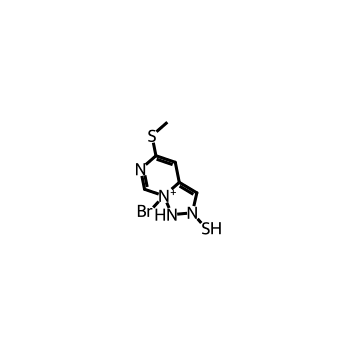 CSC1=CC2=CN(S)N[N+]2(Br)C=N1